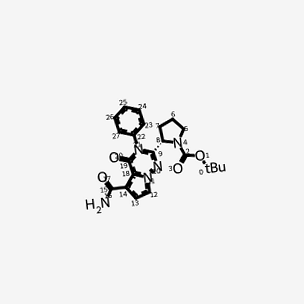 CC(C)(C)OC(=O)N1CCC[C@H]1c1nn2ccc(C(N)=O)c2c(=O)n1-c1ccccc1